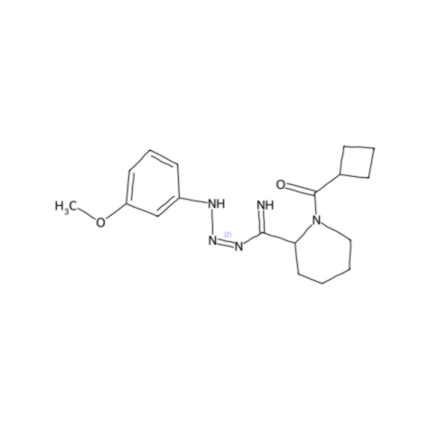 COc1cccc(N/N=N\C(=N)C2CCCCN2C(=O)C2CCC2)c1